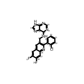 Fc1cc2cc(CNC3N=CN=C4NC=NC43)c(-c3ccccc3Cl)nc2cc1F